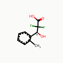 Cc1ccccc1[C@H](O)C(F)(F)C(=O)O